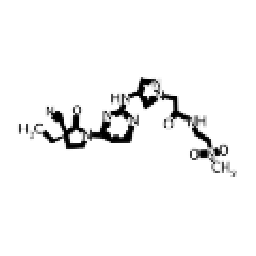 CC[C@]1(C#N)CCN(c2ccnc(Nc3cnn(CC(=O)NCCS(C)(=O)=O)c3)n2)C1=O